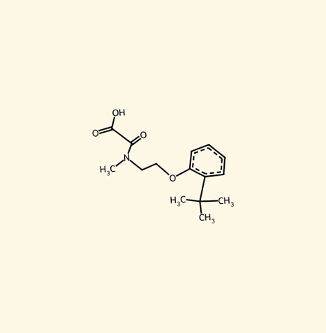 CN(CCOc1ccccc1C(C)(C)C)C(=O)C(=O)O